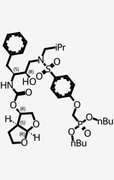 CCCCOP(=O)(COc1ccc(S(=O)(=O)N(CC(C)C)C[C@@H](O)[C@H](Cc2ccccc2)NC(=O)O[C@H]2CO[C@H]3OCC[C@H]32)cc1)OCCCC